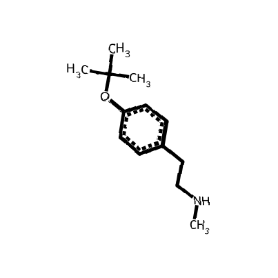 CNCCc1ccc(OC(C)(C)C)cc1